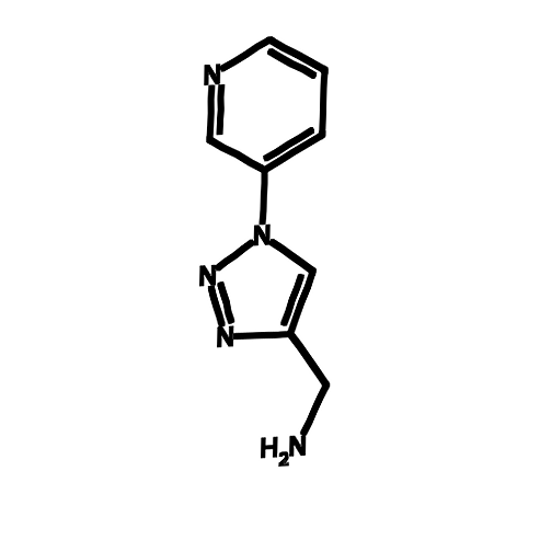 NCc1cn(-c2cccnc2)nn1